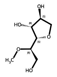 CO[C@H](CO)[C@H]1OC[C@H](O)[C@H]1O